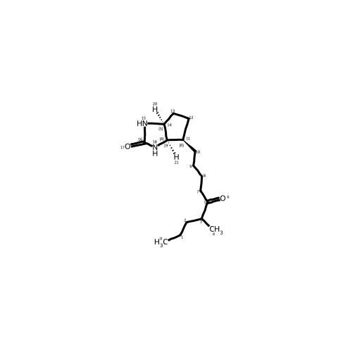 CCCC(C)C(=O)CCCC[C@@H]1CC[C@@H]2NC(=O)N[C@H]12